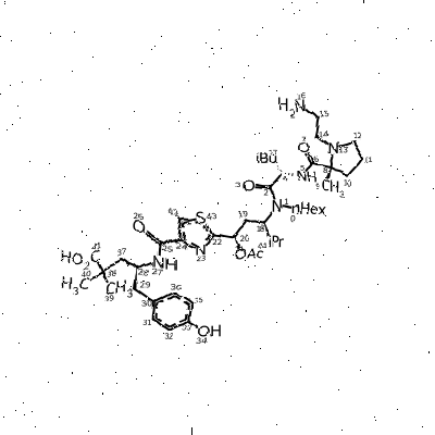 CCCCCCN(C(=O)[C@@H](NC(=O)[C@@]1(C)CCCN1CCN)[C@@H](C)CC)[C@H](C[C@@H](OC(C)=O)c1nc(C(=O)N[C@@H](Cc2ccc(O)cc2)CC(C)(C)C(=O)O)cs1)C(C)C